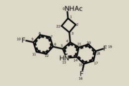 CC(=O)NC1CC(c2c(-c3ccc(F)cc3)[nH]c3c(F)cc(F)cc23)C1